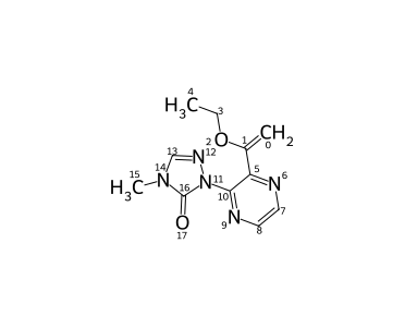 C=C(OCC)c1nccnc1-n1ncn(C)c1=O